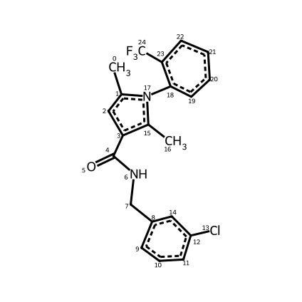 Cc1cc(C(=O)NCc2cccc(Cl)c2)c(C)n1-c1ccccc1C(F)(F)F